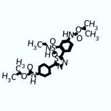 CCNS(=O)(=O)c1cc(NC(=O)OC(C)C)ccc1-c1nnc(C2CCC(NC(=O)OC(C)C)CC2)s1